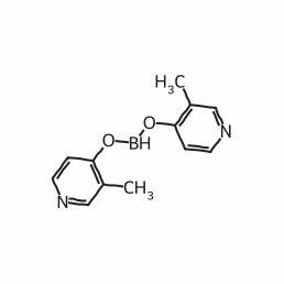 Cc1cnccc1OBOc1ccncc1C